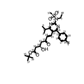 CC(C)c1nc(N(CI)S(C)(=O)=O)nc(-c2ccc(F)cc2)c1C=CC(=O)C[C@@H](O)CC(=O)OC(C)(C)C